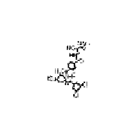 COC(=O)[C@@H](O)CNC(=O)c1ccc([C@@H](C)N2C(=O)C(c3cc(Cl)cc(Cl)c3)=NC23CCC(C(C)(C)C)CC3)cc1